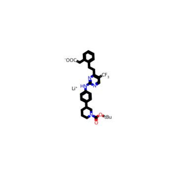 CC(C)(C)OC(=O)N1CCCC(c2ccc(Nc3ncc(C(F)(F)F)c(CCc4ccccc4CC(=O)[O-])n3)cc2)C1.[Li+]